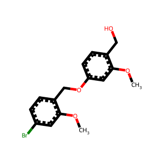 COc1cc(OCc2ccc(Br)cc2OC)ccc1CO